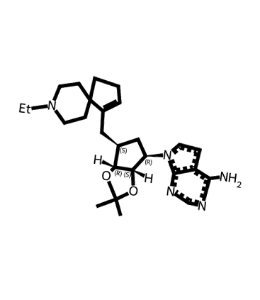 CCN1CCC2(CCC=C2C[C@H]2C[C@@H](n3ccc4c(N)ncnc43)[C@@H]3OC(C)(C)O[C@H]23)CC1